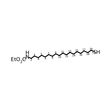 CCOC(=O)NCCCCCCCCCCCCCCCCCCS